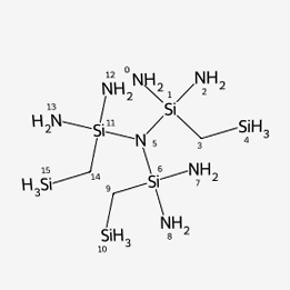 N[Si](N)(C[SiH3])N([Si](N)(N)C[SiH3])[Si](N)(N)C[SiH3]